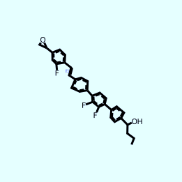 CCCC(O)c1ccc(-c2ccc(-c3ccc(/C=C/c4ccc(C5CO5)cc4F)cc3)c(F)c2F)cc1